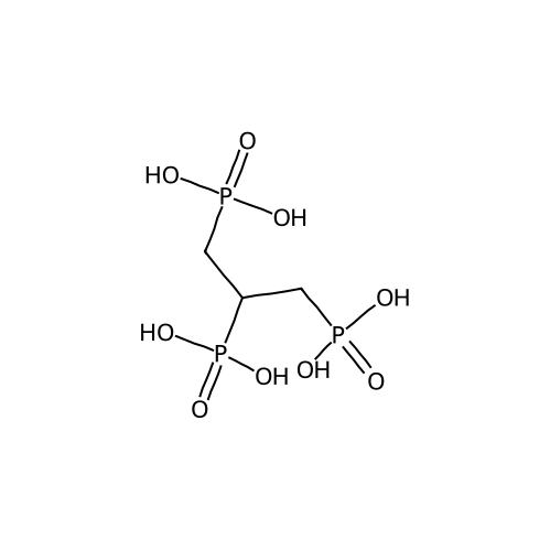 O=P(O)(O)CC(CP(=O)(O)O)P(=O)(O)O